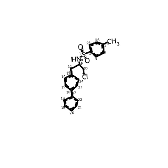 Cc1ccc(S(=O)(=O)NC(CCl)Cc2ccc(-c3ccccc3)cc2)cc1